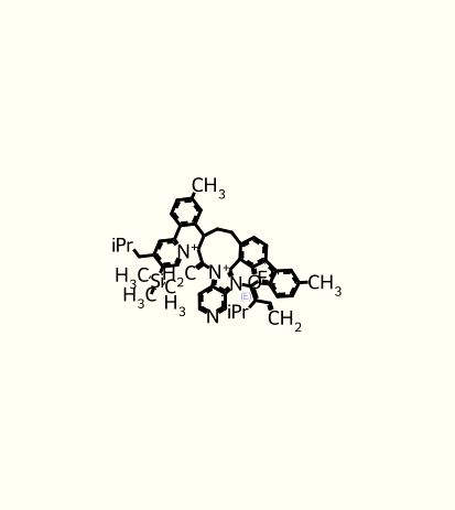 C=C/C(=C(\CC)n1c2[n+](c3ccncc31)C(=C)C1C(CCc3ccc4c(oc5ccc(C)cc54)c3-2)c2cc(C)ccc2-c2cc(CC(C)C)c([Si](C)(C)C)c[n+]21)C(C)C